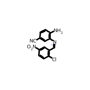 N#Cc1ccc(N)c(/N=C\c2cc([N+](=O)[O-])ccc2Cl)c1